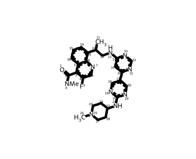 CNC(=O)c1c(F)cnc2c(C(C)CNc3cc(-c4cnc(NC5CCN(C)CC5)nc4)ncn3)cccc12